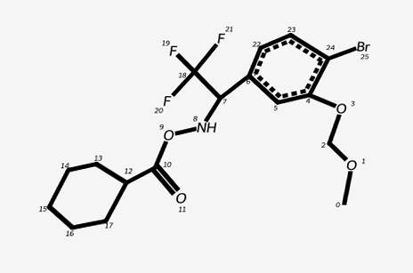 COCOc1cc(C(NOC(=O)C2CCCCC2)C(F)(F)F)ccc1Br